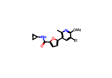 CCc1cc(-c2ccc(C(=O)NC3CC3)o2)c(C)nc1OC